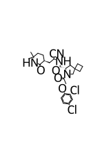 CC1(C)CC[C@@H](C[C@@H](C#N)NC(=O)[C@@H]2CC3(CCC3)CN2C(=O)COc2ccc(Cl)cc2Cl)C(=O)N1